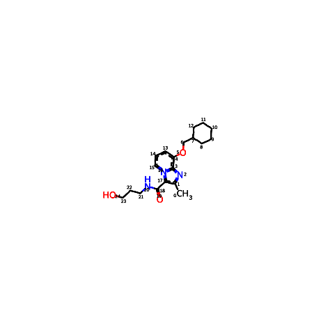 Cc1nc2c(OCC3CCCCC3)cccn2c1C(=O)NCCCO